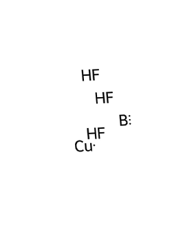 F.F.F.[B].[Cu]